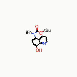 CC(C)N(C(=O)OC(C)(C)C)c1ccc(O)c2ncccc12